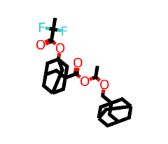 CC(OCC12CC3CC(CC(C3)C1)C2)OC(=O)C12CC3CC(CC(OC(=O)C(C)(F)F)(C3)C1)C2